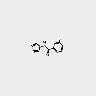 O=C(Nn1cnnc1)c1cccc(F)c1